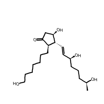 C[C@H](O)CCC[C@H](O)/C=C/[C@H]1[C@H](O)CC(=O)[C@@H]1CCCCCCCO